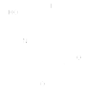 O=C1COCc2nc(O)c(I)cc21